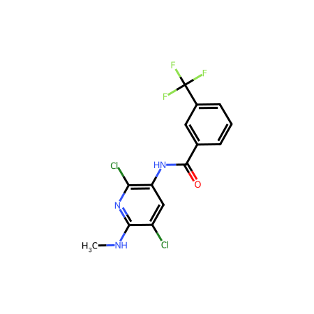 CNc1nc(Cl)c(NC(=O)c2cccc(C(F)(F)F)c2)cc1Cl